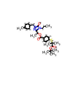 CCCn1c(C(C)OC(=O)c2ccc(SC(C)(C)C(=O)OC(C)(C)C)cc2)nn(Cc2ccc(C)cc2)c1=O